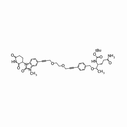 C[C@@H](OCc1ccc(C#CCOCCOCC#Cc2ccc3c(c2)n(C)c(=O)n3C2CCC(=O)NC2=O)cc1)[C@H](CCC(N)=O)NC(=O)OC(C)(C)C